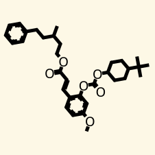 COc1ccc(C=CC(=O)OCCC(C)CCc2ccccc2)c(OC(=O)OC2CCC(C(C)(C)C)CC2)c1